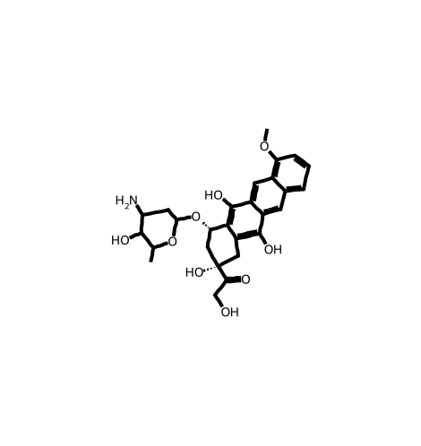 COc1cccc2cc3c(O)c4c(c(O)c3cc12)[C@@H](OC1CC(N)C(O)C(C)O1)C[C@](O)(C(=O)CO)C4